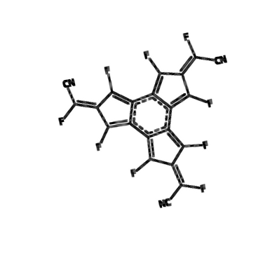 N#CC(F)=C1C(F)=c2c3c(c4c(c2=C1F)=C(F)C(=C(F)C#N)C=4F)=C(F)C(=C(F)C#N)C=3F